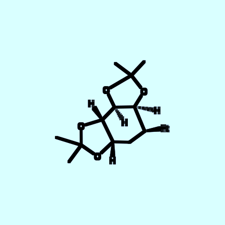 CC[C@H]1C[C@@H]2OC(C)(C)O[C@@H]2[C@H]2OC(C)(C)O[C@@H]12